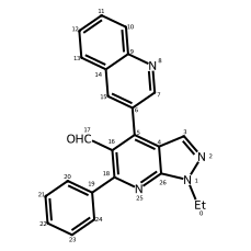 CCn1ncc2c(-c3cnc4ccccc4c3)c(C=O)c(-c3ccccc3)nc21